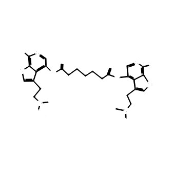 Cc1ncc(OC(=O)CCCCCC(=O)Oc2cnc(C)c3[nH]cc(CCN(C)C)c23)c2c(CCN(C)C)c[nH]c12